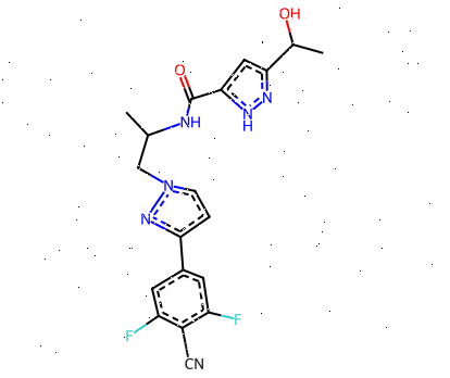 CC(Cn1ccc(-c2cc(F)c(C#N)c(F)c2)n1)NC(=O)c1cc(C(C)O)n[nH]1